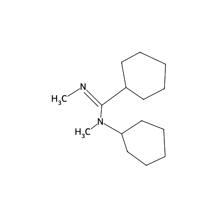 C/N=C(/C1CCCCC1)N(C)C1CCCCC1